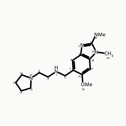 CNc1nc2cc(CNCCN3CCCC3)c(OC)cc2n1C